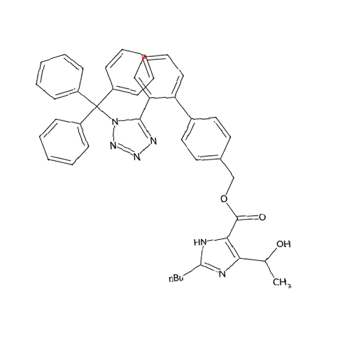 CCCCc1nc(C(C)O)c(C(=O)OCc2ccc(-c3ccccc3-c3nnnn3C(c3ccccc3)(c3ccccc3)c3ccccc3)cc2)[nH]1